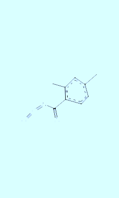 Cc1ccc(C(=O)N=C=O)c(F)c1